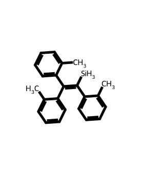 Cc1ccccc1C([SiH3])=C(c1ccccc1C)c1ccccc1C